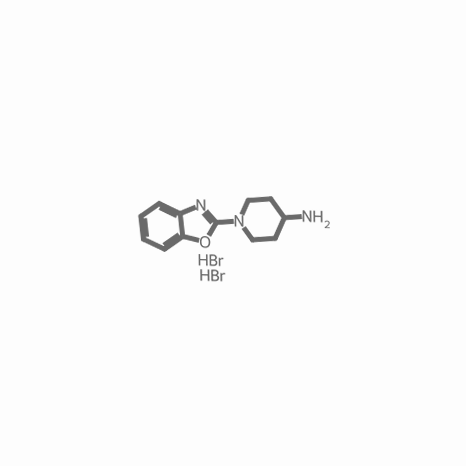 Br.Br.NC1CCN(c2nc3ccccc3o2)CC1